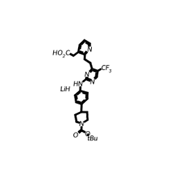 CC(C)(C)OC(=O)N1CCC(c2ccc(Nc3ncc(C(F)(F)F)c(CCc4ncccc4CC(=O)O)n3)cc2)CC1.[LiH]